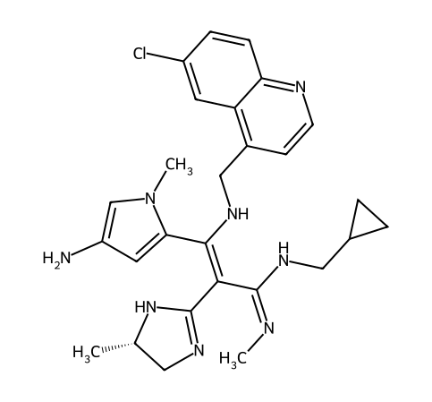 C/N=C(NCC1CC1)\C(C1=NC[C@H](C)N1)=C(/NCc1ccnc2ccc(Cl)cc12)c1cc(N)cn1C